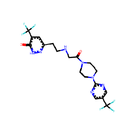 O=C(CNCCc1cc(C(F)(F)F)c(=O)[nH]n1)N1CCN(c2ncc(C(F)(F)F)cn2)CC1